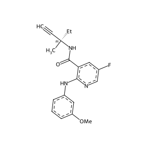 C#C[C@@](C)(CC)NC(=O)c1cc(F)cnc1Nc1cccc(OC)c1